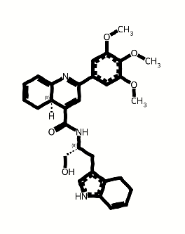 COc1cc(C2=NC3=CC=CC[C@@H]3C(C(=O)N[C@@H](CO)Cc3c[nH]c4c3CCC=C4)=C2)cc(OC)c1OC